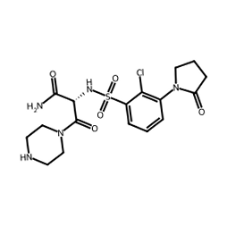 NC(=O)[C@H](NS(=O)(=O)c1cccc(N2CCCC2=O)c1Cl)C(=O)N1CCNCC1